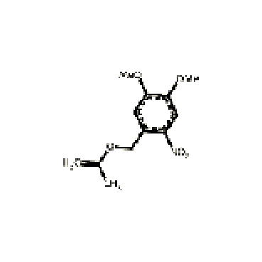 C=C(C)OCc1cc(OC)c(OC)cc1[N+](=O)[O-]